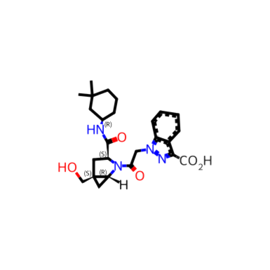 CC1(C)CCC[C@@H](NC(=O)[C@@H]2C[C@@]3(CO)C[C@H]3N2C(=O)Cn2nc(C(=O)O)c3ccccc32)C1